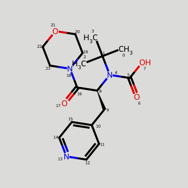 CC(C)(C)N(C(=O)O)[C@@H](Cc1ccncc1)C(=O)N1CCOCC1